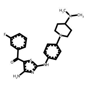 CN(C)C1CCN(c2ccc(Nc3nc(N)c(C(=O)c4cccc(F)c4)s3)cc2)CC1